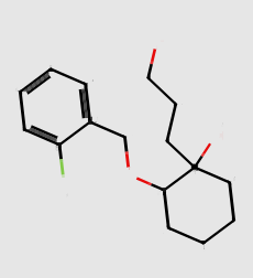 OCCCC1(O)CCCCC1OCc1ccccc1F